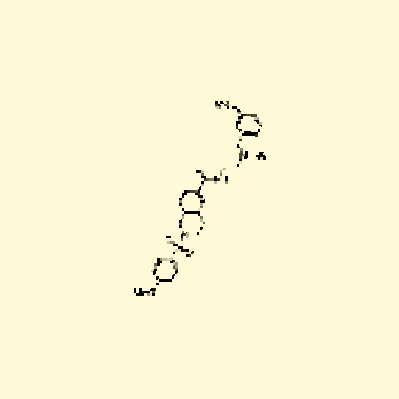 COc1ccc(S(=O)(=O)N2CCc3cc(C(=O)NCCN(Cc4cccc(OC)c4)C(C)(C)C)ccc3C2)cc1